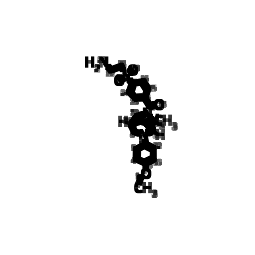 CCOc1ccc(N2C[C@H]3CN(C(=O)c4ccc(S(=O)(=O)CCN)cc4)C[C@@H]2C(C)(C)C3)cc1